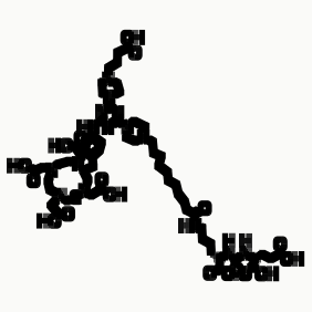 O=C(O)CCCN1CCN(c2nc(Nc3ccc(CC4CN(CC(=O)O)CCN(CC(=O)O)CCN(CC(=O)O)CCN4CC(=O)O)cc3)nc(N3CCN(CCCCCCCCCCC(=O)NCCCC[C@H](NC(=O)N[C@@H](CCC(=O)O)C(=O)O)C(=O)O)CC3)n2)CC1